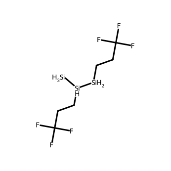 FC(F)(F)CC[SiH2][SiH]([SiH3])CCC(F)(F)F